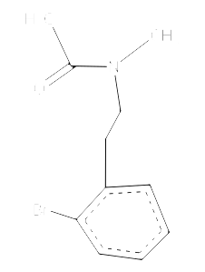 CC(=O)N(C)CCc1ccccc1Br